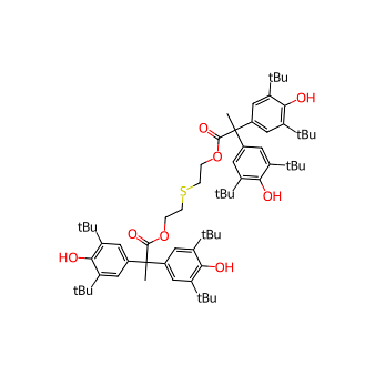 CC(C)(C)c1cc(C(C)(C(=O)OCCSCCOC(=O)C(C)(c2cc(C(C)(C)C)c(O)c(C(C)(C)C)c2)c2cc(C(C)(C)C)c(O)c(C(C)(C)C)c2)c2cc(C(C)(C)C)c(O)c(C(C)(C)C)c2)cc(C(C)(C)C)c1O